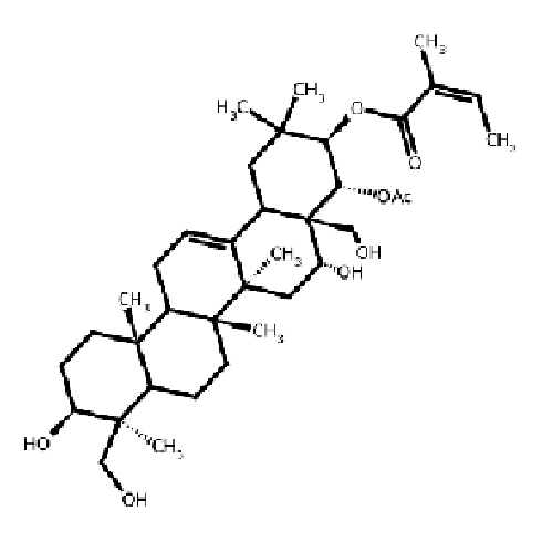 C/C=C(/C)C(=O)O[C@H]1[C@H](OC(C)=O)[C@@]2(CO)C(CC1(C)C)C1=CCC3[C@@]4(C)CC[C@H](O)[C@](C)(CO)C4CC[C@@]3(C)[C@]1(C)C[C@H]2O